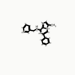 Cc1cnc2c(NCc3cccnc3)nc(-c3ccccc3)cn12